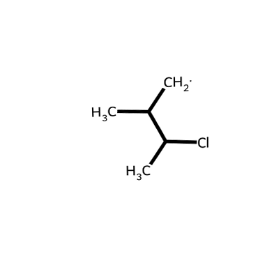 [CH2]C(C)C(C)Cl